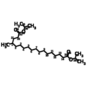 CC(CCCCCCCCCCCCCC(=O)OC(C)C)CCC(=O)OC(C)C